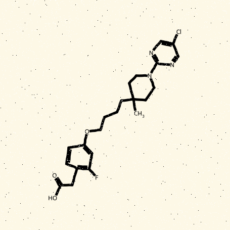 CC1(CCCCOc2ccc(CC(=O)O)c(F)c2)CCN(c2ncc(Cl)cn2)CC1